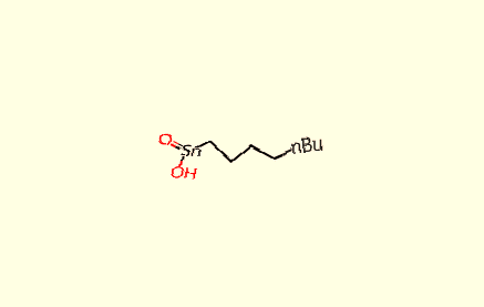 CCCCCCC[CH2][Sn](=[O])[OH]